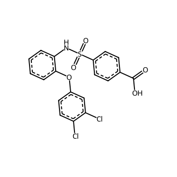 O=C(O)c1ccc(S(=O)(=O)Nc2ccccc2Oc2ccc(Cl)c(Cl)c2)cc1